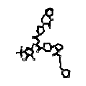 Nc1c(Cl)cc(C[C@@H](OC(=O)N2CCC(N3CCc4ccccc4NC3=O)CC2)C(=O)N2CCC(N3CCC[C@H]3C(=O)OCCCN3CCOCC3)CC2)cc1C(F)(F)F